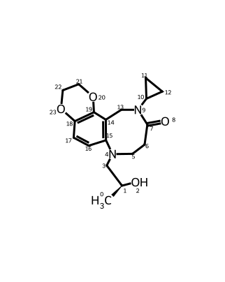 C[C@H](O)CN1CCC(=O)N(C2CC2)Cc2c1ccc1c2OCCO1